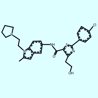 Cc1cc2cc(NC(=O)c3sc(-c4ccc(Cl)cc4)nc3CCO)ccc2n1CCN1CCCC1